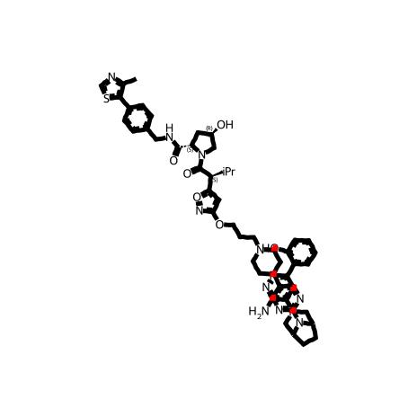 Cc1ncsc1-c1ccc(CNC(=O)[C@@H]2C[C@@H](O)CN2C(=O)[C@H](c2cc(OCCCN3CCC(c4cnc(N5C6CCC5CN(c5cc(-c7ccccc7O)nnc5N)C6)nc4)CC3)no2)C(C)C)cc1